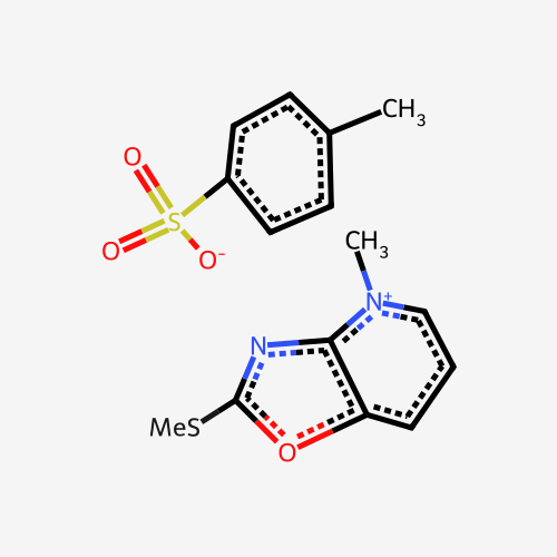 CSc1nc2c(ccc[n+]2C)o1.Cc1ccc(S(=O)(=O)[O-])cc1